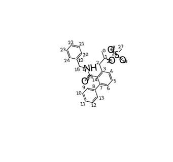 CC(Cc1cccc(-c2ccccc2)c1C(=O)NCc1ccccc1)OS(C)(=O)=O